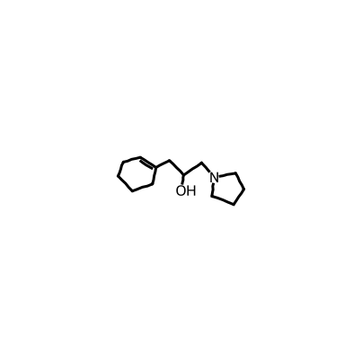 OC(CC1=CCCCC1)CN1CCCC1